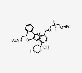 CC(=O)NCCc1ccccc1-c1onc([C@H]2CNCC[C@]2(O)c2ccc(COCC(F)(F)COC(C)C)cc2)c1Br